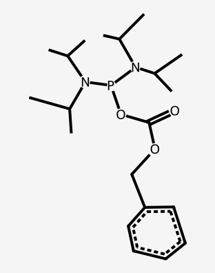 CC(C)N(C(C)C)P(OC(=O)OCc1ccccc1)N(C(C)C)C(C)C